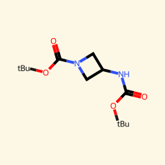 CC(C)(C)OC(=O)NC1CN(C(=O)OC(C)(C)C)C1